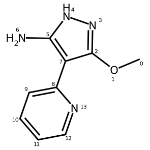 COc1n[nH]c(N)c1-c1ccccn1